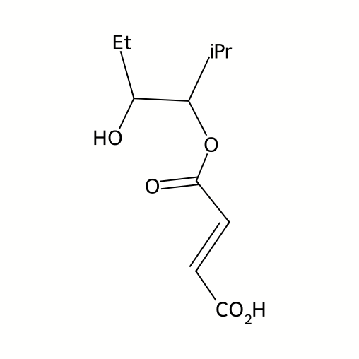 CCC(O)C(OC(=O)/C=C/C(=O)O)C(C)C